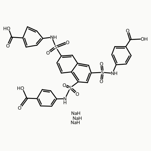 O=C(O)c1ccc(NS(=O)(=O)c2ccc3c(S(=O)(=O)Nc4ccc(C(=O)O)cc4)cc(S(=O)(=O)Nc4ccc(C(=O)O)cc4)cc3c2)cc1.[NaH].[NaH].[NaH]